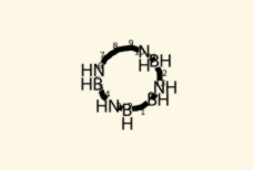 B1CBNCBNCCCNBCN1